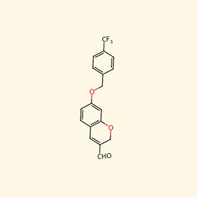 O=CC1=Cc2ccc(OCc3ccc(C(F)(F)F)cc3)cc2OC1